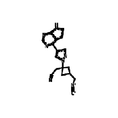 [C-]#[N+]CC1CC(CC#N)(n2cc(-c3ncnc4[nH]ccc34)cn2)C1